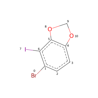 Brc1ccc2c(c1I)OCO2